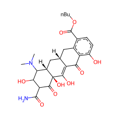 CCCCOC(=O)c1ccc(O)c2c1C[C@H]1C[C@H]3C(N(C)C)C(O)C(C(N)=O)C(=O)[C@@]3(O)C(O)=C1C2=O